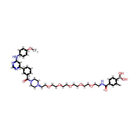 Cc1cc(C(=O)NCCOCCOCCOCCOCCOCCN2CCN(C(=O)c3cccc(-c4cc(Nc5ccc(OC(F)(F)F)cc5)ncn4)c3)CC2)ccc1B(O)O